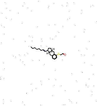 CCCCCC/C=C/C1CC[C@@H]2Cc3c(cccc3SCC=O)C[C@H]12